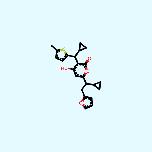 Cc1ccc(C(c2c(O)cc(C(Cc3ccco3)C3CC3)oc2=O)C2CC2)s1